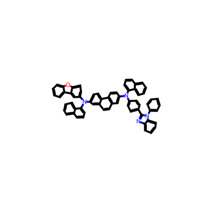 c1ccc(-n2c(-c3ccc(N(c4ccc5c(ccc6cc(N(c7ccc8oc9ccccc9c8c7)c7cccc8ccccc78)ccc65)c4)c4cccc5ccccc45)cc3)nc3ccccc32)cc1